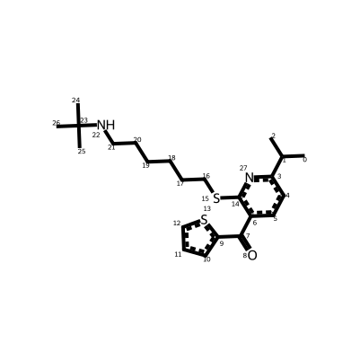 CC(C)c1ccc(C(=O)c2cccs2)c(SCCCCCCNC(C)(C)C)n1